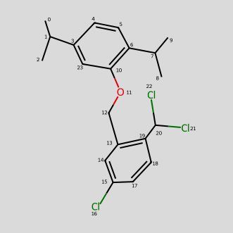 CC(C)c1ccc(C(C)C)c(OCc2cc(Cl)ccc2C(Cl)Cl)c1